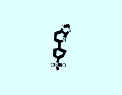 CS(=O)(=O)c1ccc(-c2ccc3ncsc3n2)cc1